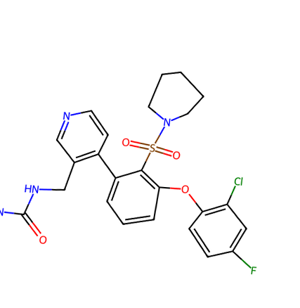 NC(=O)NCc1cnccc1-c1cccc(Oc2ccc(F)cc2Cl)c1S(=O)(=O)N1CCCCC1